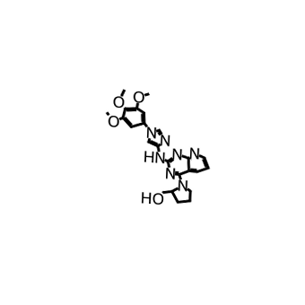 COc1cc(-n2cnc(Nc3nc(N4CCCC4CO)c4cccnc4n3)c2)cc(OC)c1OC